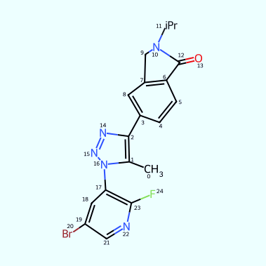 Cc1c(-c2ccc3c(c2)CN(C(C)C)C3=O)nnn1-c1cc(Br)cnc1F